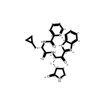 O=C(N[C@@H](CC1CC1)C(=O)N[C@@H](C[C@@H]1CCNC1=O)C(=O)c1nc2ccccc2s1)c1ccccn1